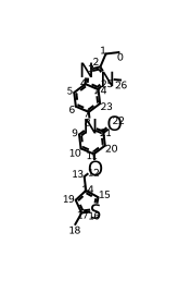 CCc1nc2ccc(-n3ccc(OCc4csc(C)c4)cc3=O)cc2n1C